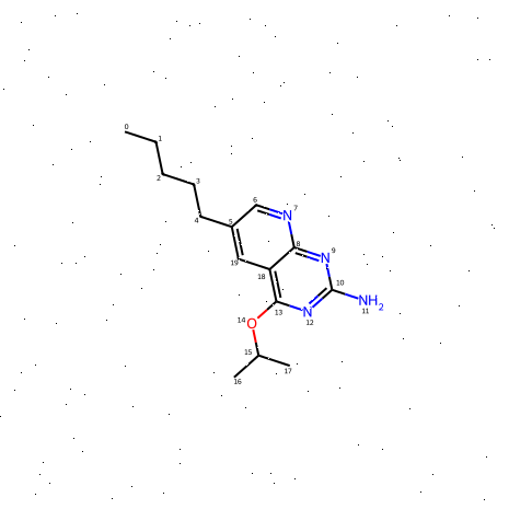 CCCCCc1cnc2nc(N)nc(OC(C)C)c2c1